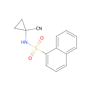 N#CC1(NS(=O)(=O)c2cccc3ccccc23)CC1